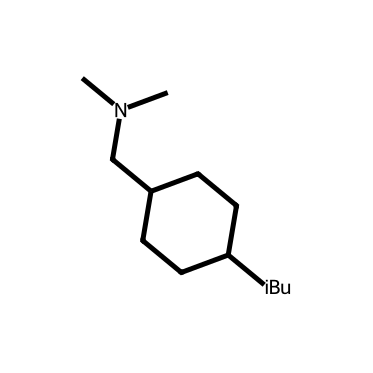 CCC(C)C1CCC(CN(C)C)CC1